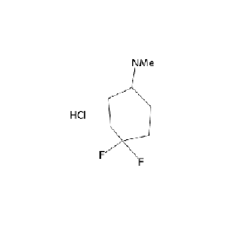 CNC1CCC(F)(F)CC1.Cl